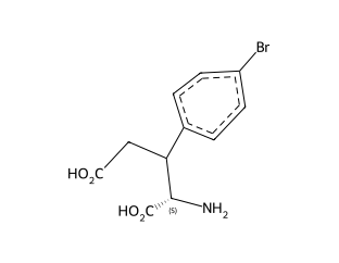 N[C@H](C(=O)O)C(CC(=O)O)c1ccc(Br)cc1